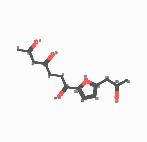 CC(=O)CC(=O)CCC(=O)c1ccc(CC(C)=O)o1